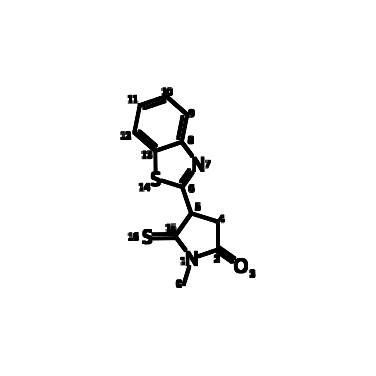 CN1C(=O)CC(c2nc3ccccc3s2)C1=S